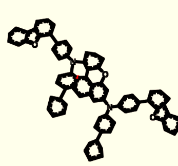 c1ccc(-c2ccc(N(c3ccc(-c4cccc5c4oc4ccccc45)cc3)c3cc4c5c(cccc5c3)-c3c(cccc3N(c3ccc(-c5ccccc5)cc3)c3ccc(-c5cccc6c5oc5ccccc56)cc3)O4)cc2)cc1